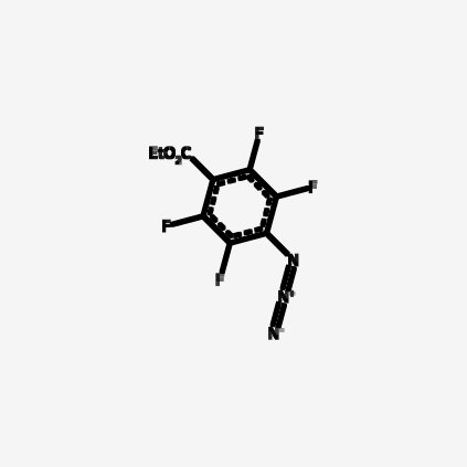 CCOC(=O)c1c(F)c(F)c(N=[N+]=[N-])c(F)c1F